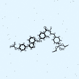 CCO[PH](O)(OCC)N1CCC(CCN(C)C(=O)c2ccc(Nc3nccn4c(-c5ccc(OC(F)F)cc5)cnc34)cc2C)CC1